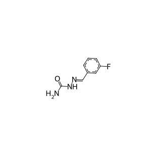 NC(=O)N/N=C/c1cccc(F)c1